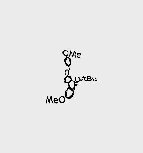 COc1ccc(COc2ccc(-c3cc(OC)ccc3F)c(COCC(C)(C)C)c2)cc1